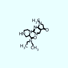 CCN(CC)C(=O)C1CNCCN1c1ncc2c(n1)N(C)CC2=O